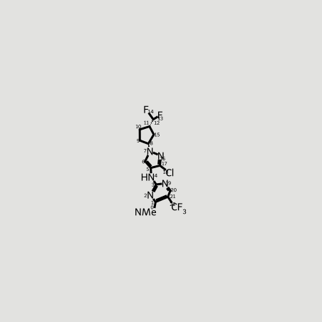 CNc1nc(Nc2cn([C@@H]3CC[C@H](C(F)F)C3)nc2Cl)ncc1C(F)(F)F